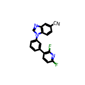 N#Cc1ccc2c(c1)ncn2-c1cccc(-c2ccc(F)nc2F)c1